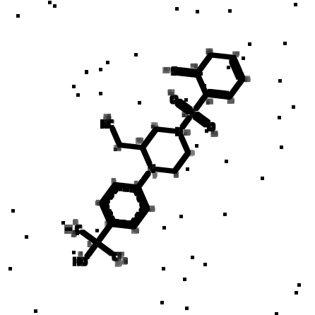 CC(O)(c1ccc(N2CCN(S(=O)(=O)C3=CC=CCC3=S)CC2CC#N)cc1)C(F)(F)F